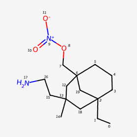 CCC12CCCC(CO[N+](=O)[O-])(CC(C)(CCN)C1)C2